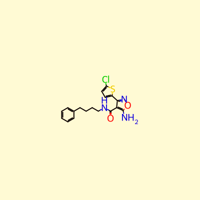 Nc1onc(-c2ccc(Cl)s2)c1C(=O)NCCCCc1ccccc1